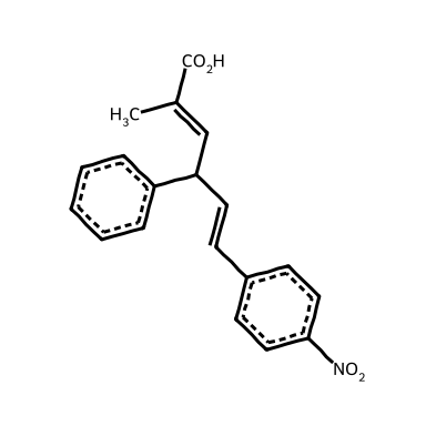 CC(=CC(C=Cc1ccc([N+](=O)[O-])cc1)c1ccccc1)C(=O)O